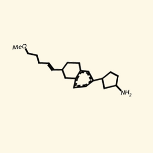 COCCC/C=C/C1CCc2cc(C3CCC(N)C3)ccc2C1